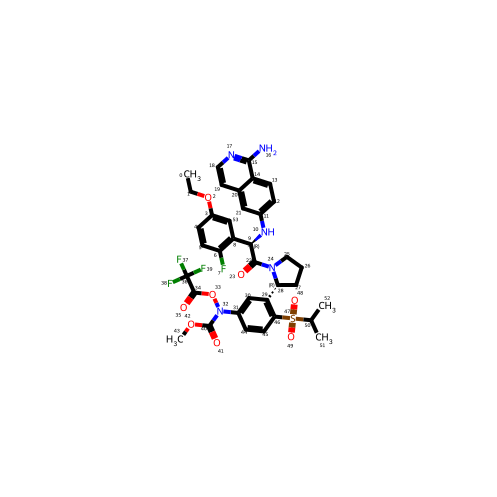 CCOc1ccc(F)c([C@@H](Nc2ccc3c(N)nccc3c2)C(=O)N2CCC[C@@H]2c2cc(N(OC(=O)C(F)(F)F)C(=O)OC)ccc2S(=O)(=O)C(C)C)c1